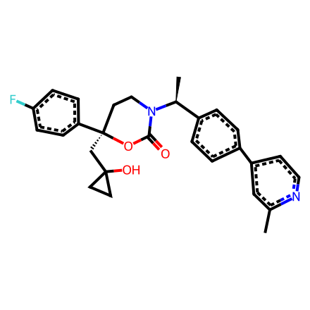 Cc1cc(-c2ccc([C@H](C)N3CC[C@](CC4(O)CC4)(c4ccc(F)cc4)OC3=O)cc2)ccn1